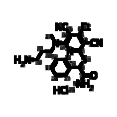 CCc1c(C#N)c(SC(C(N)=O)c2ccccc2)nc(N(C)CCCN)c1C#N.Cl